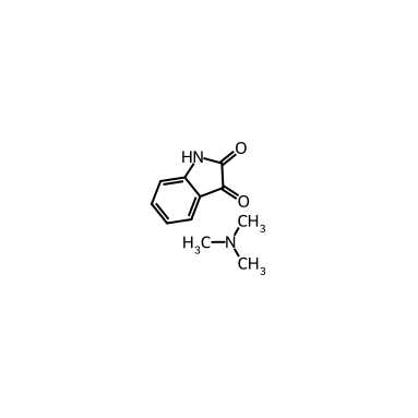 CN(C)C.O=C1Nc2ccccc2C1=O